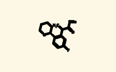 COC(=O)C(C)c1cc(F)ccc1[C@@H]1CCCCO1